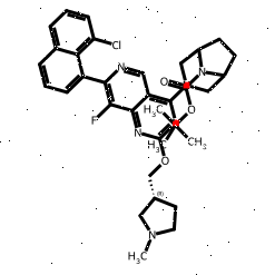 CN1CC[C@@H](COc2nc(N3CC4CCC(C3)N4C(=O)OC(C)(C)C)c3cnc(-c4cccc5cccc(Cl)c45)c(F)c3n2)C1